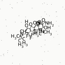 CC(C)[C@@H](C)N(C)Cc1cc(O)c2c(c1C(F)(F)F)C[C@H]1C[C@H]3[C@H](N(C)C)C(O)=C(C(N)=O)C(=O)[C@@]3(O)C(O)=C1C2=O